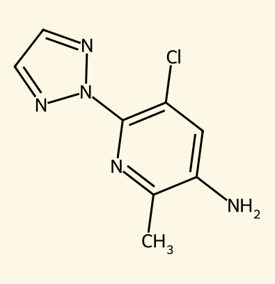 Cc1nc(-n2nccn2)c(Cl)cc1N